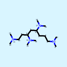 CN(C)CCCC(CC(CCN(C)C)N(C)C)N(C)C